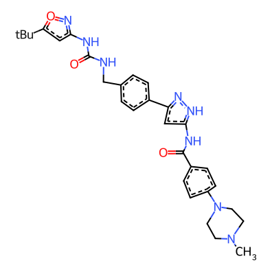 CN1CCN(c2ccc(C(=O)Nc3cc(-c4ccc(CNC(=O)Nc5cc(C(C)(C)C)on5)cc4)n[nH]3)cc2)CC1